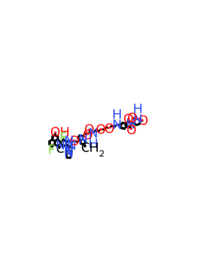 C#Cc1c(F)ccc2cc(O)cc(-c3ncc4c(N5CC6CCC(C5)N6)nc(OC[C@@]56CC[C@@H](COC(=O)NCCOCCOCCNc7ccc8c(c7)C(=O)N(C7CCC(=O)NC7=O)C8=O)N5CC(=C)C6)nc4c3F)c12